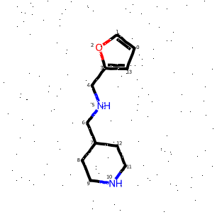 c1coc(CNCC2CCNCC2)c1